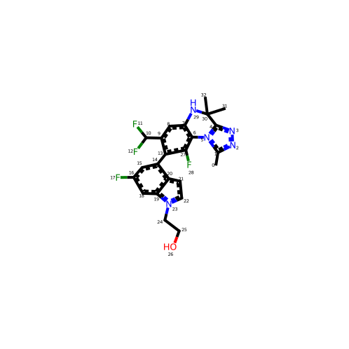 Cc1nnc2n1-c1c(cc(C(F)F)c(-c3cc(F)cc4c3ccn4CCO)c1F)NC2(C)C